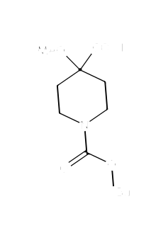 COC1(C(=O)O)CCN(C(=O)OC(C)(C)C)CC1